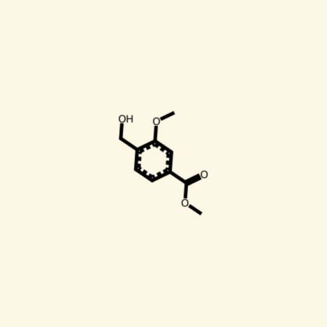 COC(=O)c1ccc(CO)c(OC)c1